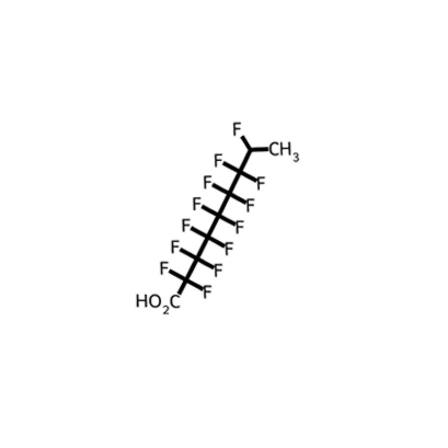 CC(F)C(F)(F)C(F)(F)C(F)(F)C(F)(F)C(F)(F)C(F)(F)C(=O)O